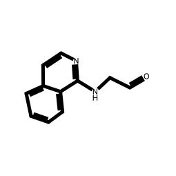 O=CCNc1nccc2ccccc12